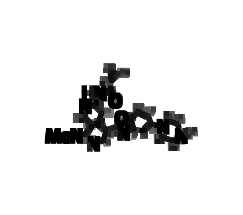 CNc1ncc(-c2nc3cc(N4CCN(C)CC4)ccc3o2)c2cc(NC(=O)C3CC3)ncc12